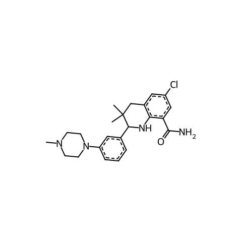 CN1CCN(c2cccc(C3Nc4c(cc(Cl)cc4C(N)=O)CC3(C)C)c2)CC1